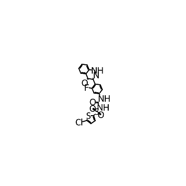 O=C(Nc1ccc(-c2n[nH]c3ccccc3c2=O)c(F)c1)NS(=O)(=O)c1ccc(Cl)s1